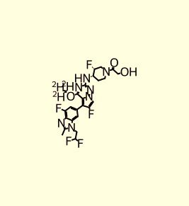 [2H]C([2H])([2H])Oc1nc(N[C@H]2CCN(C(=O)CO)C[C@H]2F)nn2cc(F)c(-c3cc(F)c4nc(C)n(CC(F)F)c4c3)c12